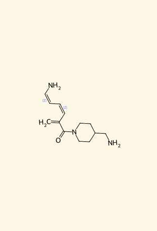 C=C(/C=C\C=C/N)C(=O)N1CCC(CN)CC1